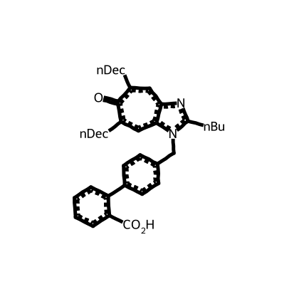 CCCCCCCCCCc1cc2nc(CCCC)n(Cc3ccc(-c4ccccc4C(=O)O)cc3)c2cc(CCCCCCCCCC)c1=O